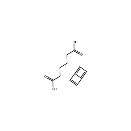 O=C(O)CCCCC(=O)O.c1cc2ccc1-2